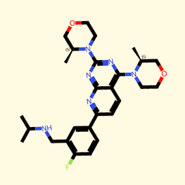 CC(C)NCc1cc(-c2ccc3c(N4CCOC[C@@H]4C)nc(N4CCOC[C@@H]4C)nc3n2)ccc1F